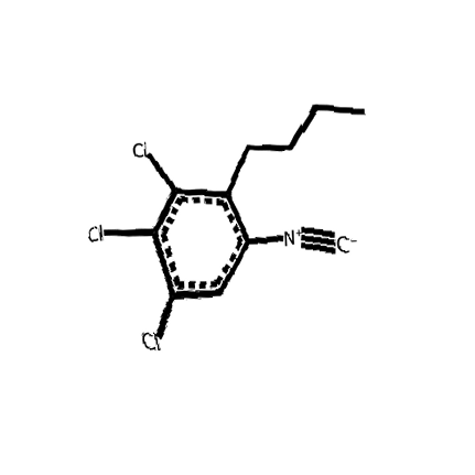 [C-]#[N+]c1cc(Cl)c(Cl)c(Cl)c1CCCC